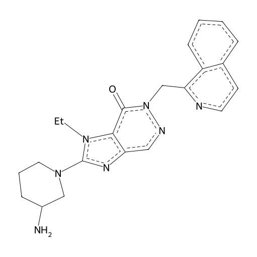 CCn1c(N2CCCC(N)C2)nc2cnn(Cc3nccc4ccccc34)c(=O)c21